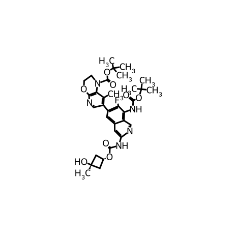 Cc1c(-c2cc3cc(NC(=O)O[C@H]4C[C@@](C)(O)C4)ncc3c(NC(=O)OC(C)(C)C)c2F)cnc2c1N(C(=O)OC(C)(C)C)CCO2